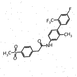 Cc1cc(NC(=O)Cc2ccc(S(C)(=O)=O)cc2)ccc1-c1ccc(F)cc1C(F)(F)F